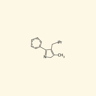 CC1=C(CC(C)C)C(c2ccccc2)=NC1